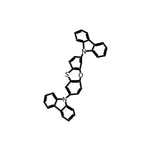 c1ccc2c(c1)c1ccccc1n2-c1ccc2c(c1)Oc1ccc(-n3c4ccccc4c4ccccc43)cc1S2